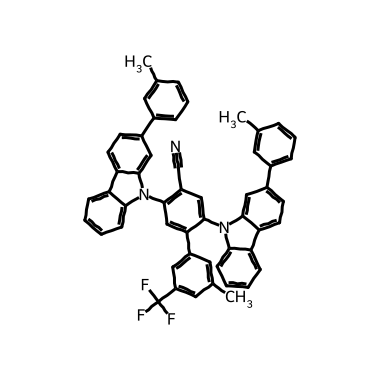 Cc1cccc(-c2ccc3c4ccccc4n(-c4cc(-c5cc(C)cc(C(F)(F)F)c5)c(-n5c6ccccc6c6ccc(-c7cccc(C)c7)cc65)cc4C#N)c3c2)c1